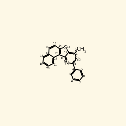 Cc1nc(-c2ccccc2)nc2c1sc1ccc3ccccc3c12